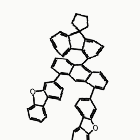 c1ccc2c(c1)-c1c(-c3c4cccc(-c5ccc6c(c5)oc5ccccc56)c4cc4c(-c5ccc6c(c5)oc5ccccc56)cccc34)cccc1C21CCCC1